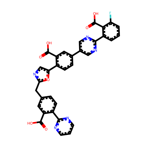 O=C(O)c1cc(Cc2ncc(-c3ccc(-c4cnc(-c5cccc(F)c5C(=O)O)nc4)cc3C(=O)O)o2)ccc1-c1ncccn1